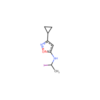 CC(I)Nc1cc(C2CC2)no1